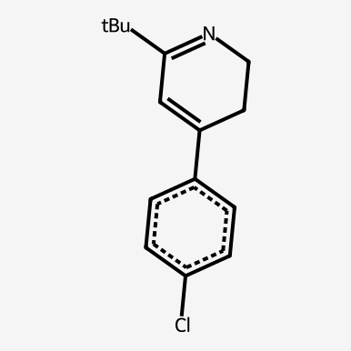 CC(C)(C)C1=NCCC(c2ccc(Cl)cc2)=C1